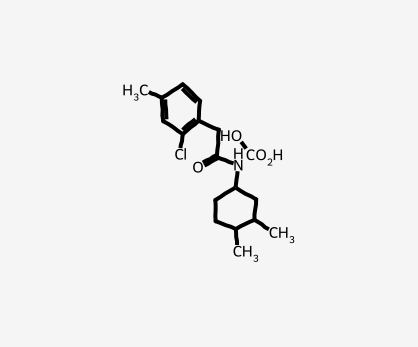 Cc1ccc(CC(=O)NC2CCC(C)C(C)C2)c(Cl)c1.O=C(O)O